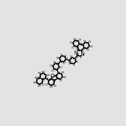 c1cc(-c2cccc(-c3cnc4c5ccccc5c5ccccc5c4n3)c2)cc(-c2cccc(-c3cccc4c3oc3c(-c5cccc6ccccc56)cccc34)c2)c1